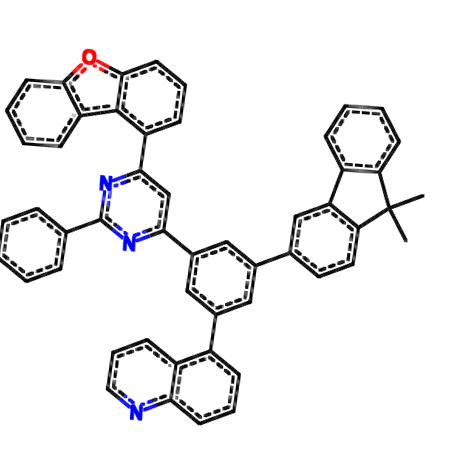 CC1(C)c2ccccc2-c2cc(-c3cc(-c4cc(-c5cccc6oc7ccccc7c56)nc(-c5ccccc5)n4)cc(-c4cccc5ncccc45)c3)ccc21